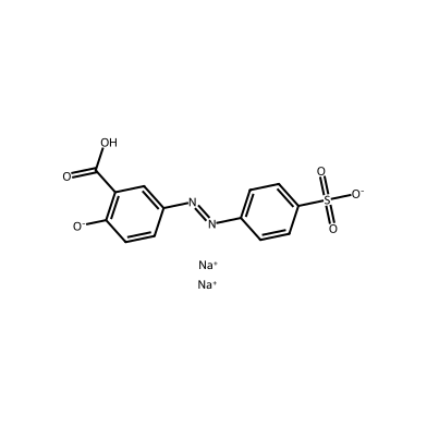 O=C(O)c1cc(N=Nc2ccc(S(=O)(=O)[O-])cc2)ccc1[O-].[Na+].[Na+]